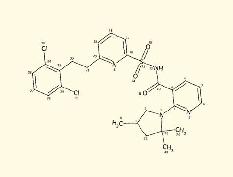 CC1CN(c2ncccc2C(=O)NS(=O)(=O)c2cccc(CCc3c(Cl)cccc3Cl)n2)C(C)(C)C1